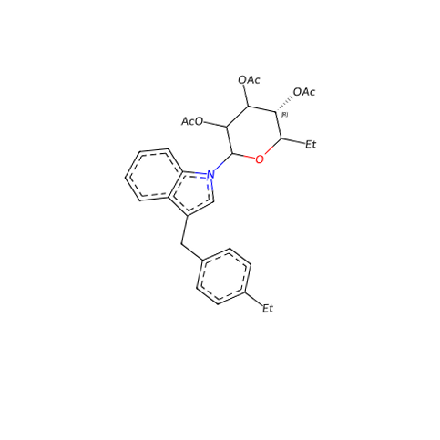 CCc1ccc(Cc2cn(C3OC(CC)[C@@H](OC(C)=O)C(OC(C)=O)C3OC(C)=O)c3ccccc23)cc1